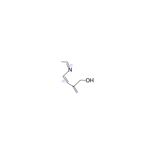 C=C(/C=C\N=C/C)CO